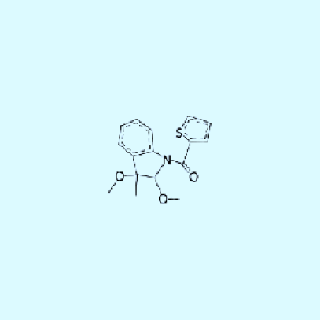 COC1N(C(=O)c2cccs2)c2ccccc2C1(C)OC